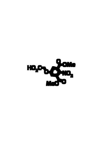 COC(=O)c1cc(OCC(=O)O)cc(C(=O)OC)c1[N+](=O)[O-]